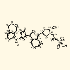 Cc1sc(C(=O)c2cncnc2N[C@H]2C[C@H](O)[C@@H]([CH]NS(=O)(=O)O)C2)cc1[C@H]1OCCc2cccnc21